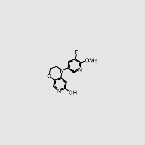 COc1ncc(N2CCOc3cnc(O)cc32)cc1F